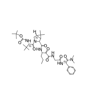 CCCC(NC(=O)C1C2[C@H](CN1C(=O)[C@@H](NC(=O)OC(C)(C)C)C(C)(C)C)C2(C)C)C(=O)C(=O)NCC(=O)N[C@H](C(=O)N(C)C)c1ccccc1